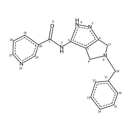 O=C(Nc1[nH]nc2c1CN(Cc1ccccc1)C2)c1cccnc1